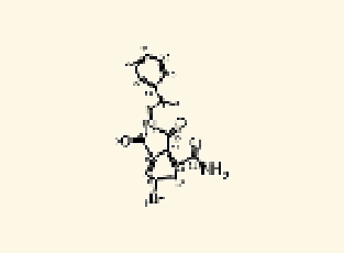 CC(CN1C(=O)c2cc(Br)cc(C(N)=O)c2C1=O)c1ccccc1